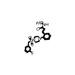 O=C(/C=C/c1ccccc1N1CCN(S(=O)(=O)Cc2cccc(F)c2)CC1)NO